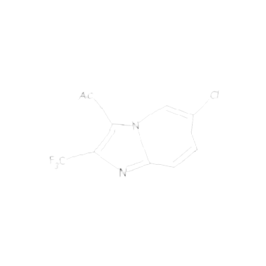 CC(=O)c1c(C(F)(F)F)nc2ccc(Cl)cn12